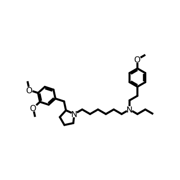 CCCN(CCCCCCN1CCCC1Cc1ccc(OC)c(OC)c1)CCc1ccc(OC)cc1